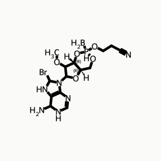 B[PH]1(OCCC#N)OC[C@H]2OC(N3C4=C(NC3Br)C(N)NC=N4)C(OC)[C@@H]2O1